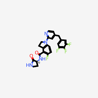 O=C(N[C@H]1CCNC1=O)c1c(F)ccc2c1CCN2c1cc(Cc2cc(F)c(F)c(F)c2)ccn1